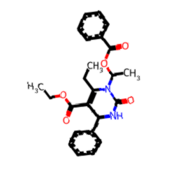 CCOC(=O)C1=C(CC)N(C(C)OC(=O)c2ccccc2)C(=O)NC1c1ccccc1